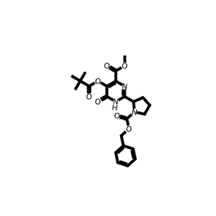 COC(=O)c1nc(C2CCCN2C(=O)OCc2ccccc2)[nH]c(=O)c1OC(=O)C(C)(C)C